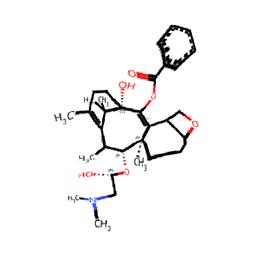 CC1=C2C(C)[C@@H](O[C@@H](O)CN(C)C)[C@]3(C)CCC4OCC4/C3=C(\OC(=O)c3ccccc3)[C@](O)(CC1)C2(C)C